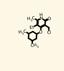 CCc1c(C)[nH]c(=O)c(CCl)c1OC1CC(C)CC(C)C1